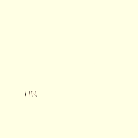 [c]1[nH]ccc1-c1cccc2ccccc12